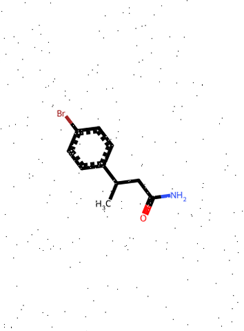 CC(CC(N)=O)c1ccc(Br)cc1